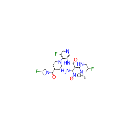 CN1CC(F)CNC1C(C(=O)Nc1cncc(F)c1N1CCC(C(=O)N2CC(F)C2)CC1)C(N)N=O